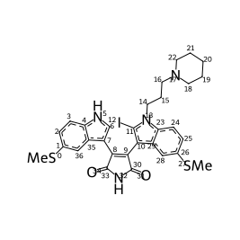 CSc1ccc2[nH]cc(C3=C(c4c(I)n(CCCN5CCCCC5)c5ccc(SC)cc45)C(=O)NC3=O)c2c1